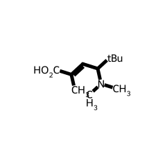 CC(=CC(N(C)C)C(C)(C)C)C(=O)O